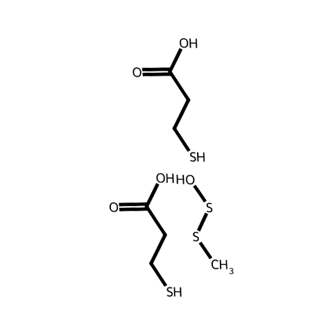 CSSO.O=C(O)CCS.O=C(O)CCS